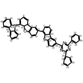 C1=CC2c3cc(-c4cccc5c4sc4ccc(-c6nc(-c7ccccc7)nc(-c7ccccc7)n6)cc45)ccc3OC2C(n2c3ccccc3c3ccccc32)=C1